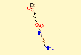 CCC(=O)OCCCCCCOC(=O)CCNCCSSCCN